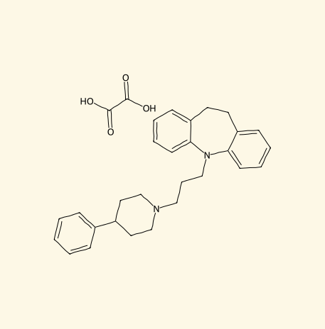 O=C(O)C(=O)O.c1ccc(C2CCN(CCCN3c4ccccc4CCc4ccccc43)CC2)cc1